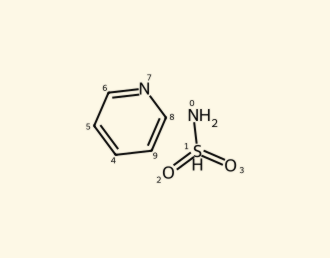 N[SH](=O)=O.c1ccncc1